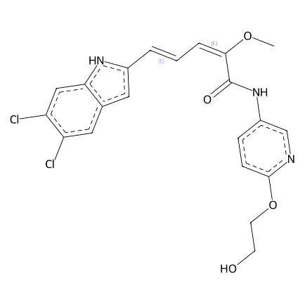 CO/C(=C/C=C/c1cc2cc(Cl)c(Cl)cc2[nH]1)C(=O)Nc1ccc(OCCO)nc1